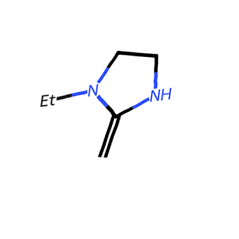 C=C1NCCN1CC